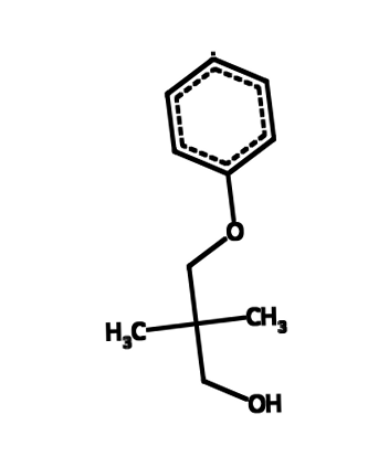 CC(C)(CO)COc1cc[c]cc1